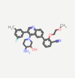 COCCOc1c(C#N)cccc1-c1ccc2ncc(-c3cc(C)cc(F)c3)c(N3CCC(N)C(O)C3)c2c1